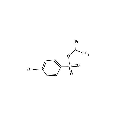 CC(C)C(C)OS(=O)(=O)c1ccc(C(C)(C)C)cc1